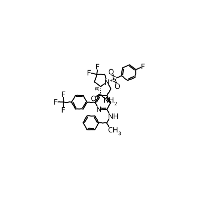 CC(Nc1cc(C[N+]2(S(=O)(=O)c3ccc(F)cc3)CC(F)(F)C[C@H]2C(N)=O)cc(-c2ccc(C(F)(F)F)cc2)n1)c1ccccc1